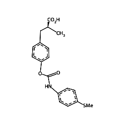 CSc1ccc(NC(=O)Oc2ccc(C[C@H](C)C(=O)O)cc2)cc1